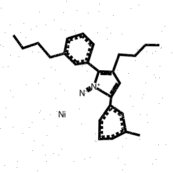 CCCCC1=C(c2cccc(CCCC)c2)[N+](=[N-])C(c2cccc(C)c2)=C1.[Ni]